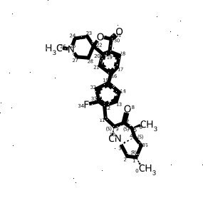 C[C@@H]1CC[C@H]([C@H](C)C(=O)[C@H](C#N)Cc2ccc(-c3ccc4c(c3)C3(CCN(C)CC3)OC4=O)cc2F)C1